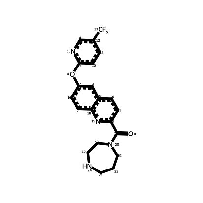 O=C(c1ccc2cc(Oc3ccc(C(F)(F)F)cn3)ccc2n1)N1CCCNCC1